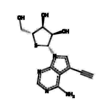 C#Cc1cn([C@@H]2S[C@H](CO)[C@@H](O)[C@H]2O)c2ncnc(N)c12